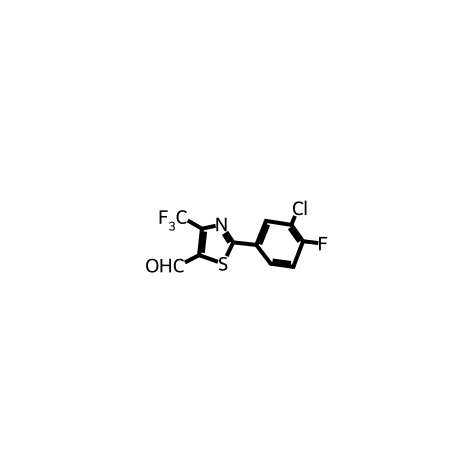 O=Cc1sc(-c2ccc(F)c(Cl)c2)nc1C(F)(F)F